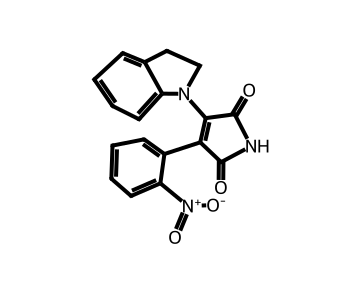 O=C1NC(=O)C(N2CCc3ccccc32)=C1c1ccccc1[N+](=O)[O-]